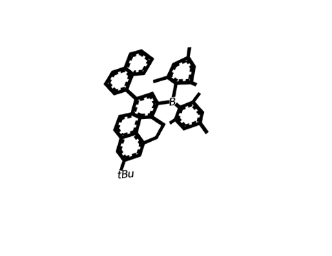 Cc1cc(C)c(B(c2cc(-c3cccc4ccccc34)c3ccc4cc(C(C)(C)C)cc5c4c3c2CC5)c2c(C)cc(C)cc2C)c(C)c1